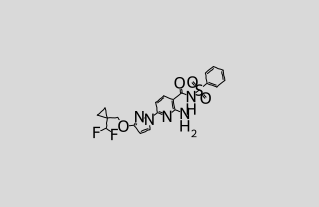 Nc1nc(-n2ccc(OCC3(C(F)F)CC3)n2)ccc1C(=O)NS(=O)(=O)c1ccccc1